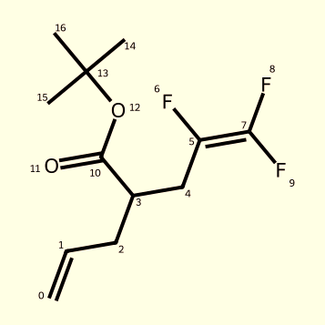 C=CCC(CC(F)=C(F)F)C(=O)OC(C)(C)C